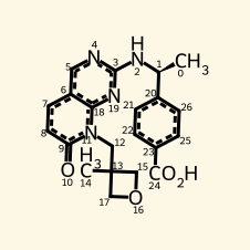 C[C@H](Nc1ncc2ccc(=O)n(CC3(C)COC3)c2n1)c1ccc(C(=O)O)cc1